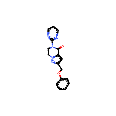 O=C1c2cc(COc3ccccc3)nn2CCN1c1ncccn1